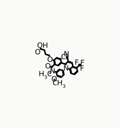 COc1ccccc1N(C)C(=O)c1cc(-c2nc3cccc(C(F)(F)F)c3cc2C#N)c(Cl)cc1OCCCC(=O)O